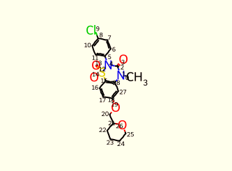 CN1C(=O)N(c2ccc(Cl)cc2)S(=O)(=O)c2ccc(OCC3CCCCO3)cc21